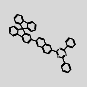 c1ccc(-c2nc(-c3ccccc3)nc(-c3ccc4cc(-c5ccc6c(c5)C5(c7ccccc7-c7ccccc75)c5ccccc5-6)ccc4c3)n2)cc1